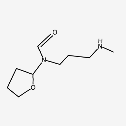 CNCCCN(C=O)C1CCCO1